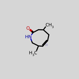 CC1/C=C\CC(C)CC(=O)NC1